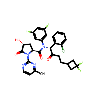 N#Cc1ccnc(N2C(=O)[C@H](O)C[C@H]2C(=O)N(c2cc(F)cc(F)c2)[C@@H](C(=O)CCC2CC(F)(F)C2)c2ccccc2Cl)n1